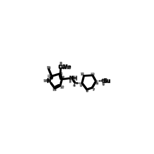 COc1c(NC[C@H]2CC[C@@H](C(C)(C)C)CC2)ccnc1C